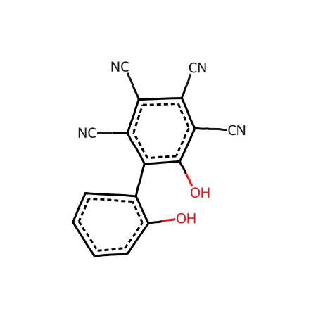 N#Cc1c(O)c(-c2ccccc2O)c(C#N)c(C#N)c1C#N